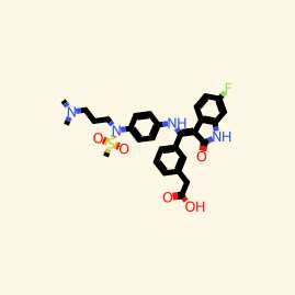 CN(C)CCCN(c1ccc(NC(=C2C(=O)Nc3cc(F)ccc32)c2cccc(CC(=O)O)c2)cc1)S(C)(=O)=O